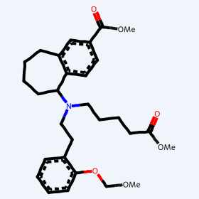 COCOc1ccccc1CCN(CCCCC(=O)OC)C1CCCCc2cc(C(=O)OC)ccc21